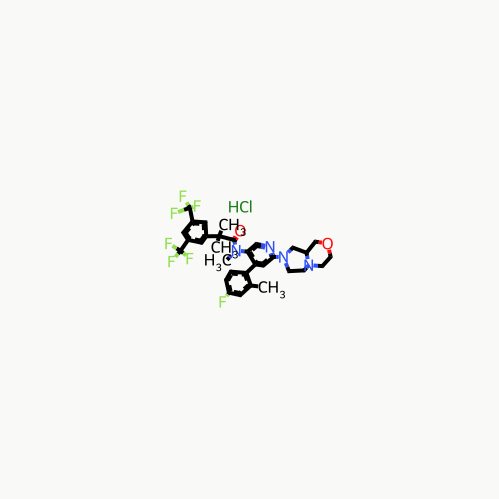 Cc1cc(F)ccc1-c1cc(N2CCN3CCOCC3C2)ncc1N(C)C(=O)C(C)(C)c1cc(C(F)(F)F)cc(C(F)(F)F)c1.Cl